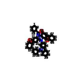 c1ccc(-c2nc3c(N(c4ccc5oc6ccccc6c5c4)c4ccc5c6ccccc6n(-c6ccccc6)c5c4)c4oc5ccccc5c4cc3o2)cc1